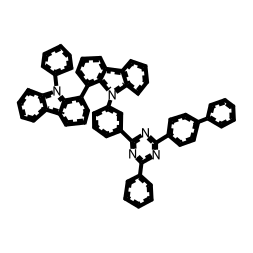 c1ccc(-c2ccc(-c3nc(-c4ccccc4)nc(-c4cccc(-n5c6ccccc6c6cccc(-c7cccc8c9ccccc9n(-c9ccccc9)c78)c65)c4)n3)cc2)cc1